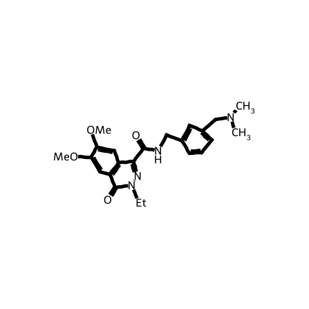 CCn1nc(C(=O)NCc2cccc(CN(C)C)c2)c2cc(OC)c(OC)cc2c1=O